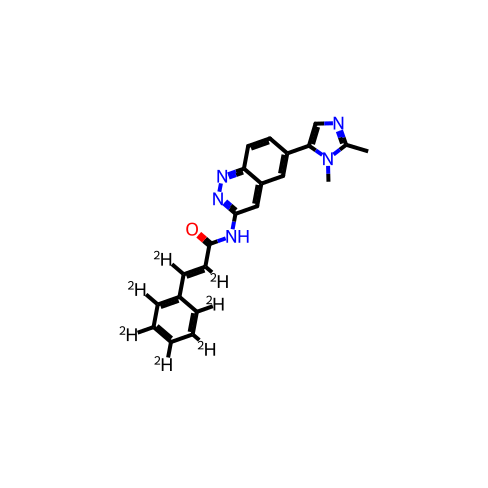 [2H]/C(C(=O)Nc1cc2cc(-c3cnc(C)n3C)ccc2nn1)=C(/[2H])c1c([2H])c([2H])c([2H])c([2H])c1[2H]